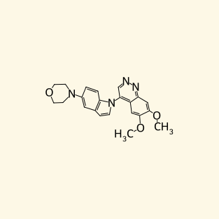 COc1cc2nncc(-n3ccc4cc(N5CCOCC5)ccc43)c2cc1OC